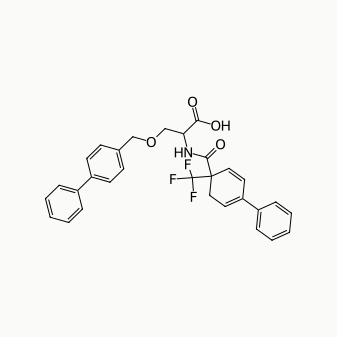 O=C(O)C(COCc1ccc(-c2ccccc2)cc1)NC(=O)C1(C(F)(F)F)C=CC(c2ccccc2)=CC1